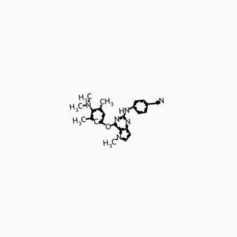 Cc1cc(Oc2nc(Nc3ccc(C#N)cc3)nc3ccn(C)c23)cc(C)c1N(C)C